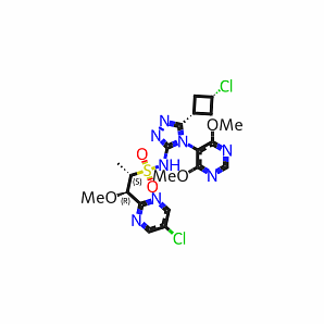 COc1ncnc(OC)c1-n1c(NS(=O)(=O)[C@@H](C)[C@H](OC)c2ncc(Cl)cn2)nnc1[C@H]1C[C@@H](Cl)C1